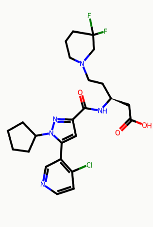 O=C(O)C[C@H](CCN1CCCC(F)(F)C1)NC(=O)c1cc(-c2cnccc2Cl)n(C2CCCC2)n1